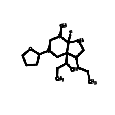 CCCN1CNC2(F)N(O)CN(C3CCCO3)C[C@@]12C(O)CC